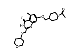 CC(=O)N1CCC(COc2cc(C)c3c(=O)[nH]c(CSC4CCOCC4)nc3c2)CC1